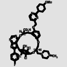 COC1CCC(c2nccc(COc3ccc4cc3C[C@H](C(=O)O)Oc3ncnc5sc(-c6ccc(F)cc6)c(c35)-c3c(C)c(Cl)c(c(Cl)c3C)O[C@H](CN3CCN(C)CC3)CO4)n2)CC1